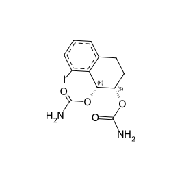 NC(=O)O[C@H]1CCc2cccc(I)c2[C@H]1OC(N)=O